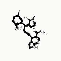 Cn1cccc(C(CC#Cc2c(C(N)=O)cnc3[nH]ccc23)c2cc(F)ccc2O)c1=O